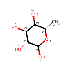 C[C@@H]1O[C@@H](O)[C@H](O)[C@@H](O)[C@H]1O